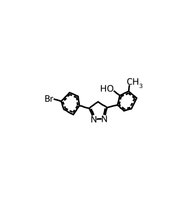 Cc1cccc(C2=NN=C(c3ccc(Br)cc3)C2)c1O